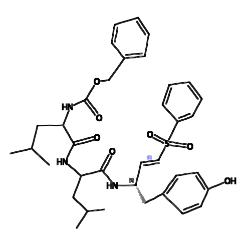 CC(C)CC(NC(=O)OCc1ccccc1)C(=O)NC(CC(C)C)C(=O)N[C@H](/C=C/S(=O)(=O)c1ccccc1)Cc1ccc(O)cc1